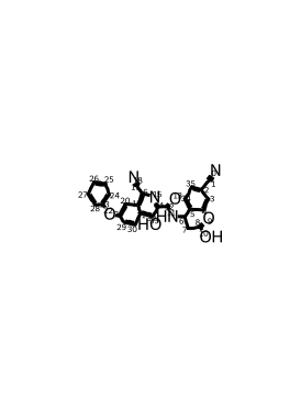 N#Cc1ccc(C(CC(=O)O)NC(=O)c2nc(C#N)c3cc(Oc4ccccc4)ccc3c2O)cc1